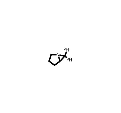 [2H]C1([2H])C2CCCN21